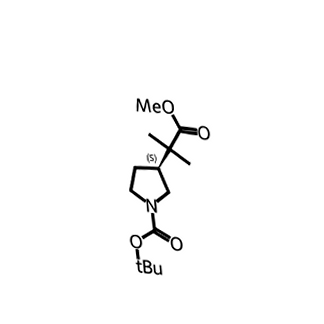 COC(=O)C(C)(C)[C@@H]1CCN(C(=O)OC(C)(C)C)C1